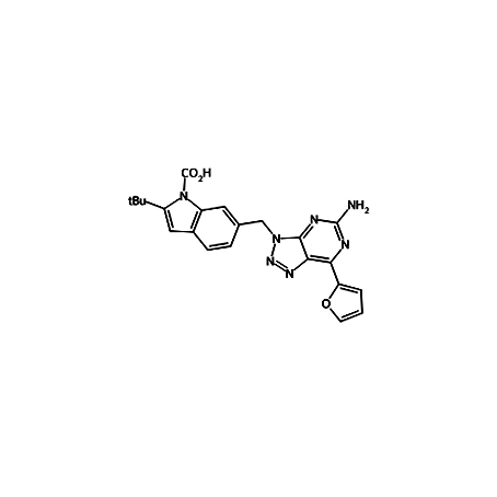 CC(C)(C)c1cc2ccc(Cn3nnc4c(-c5ccco5)nc(N)nc43)cc2n1C(=O)O